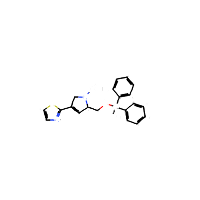 CC(C)(C)[Si](OCC1C=C(c2nccs2)CN1C(=O)O)(c1ccccc1)c1ccccc1